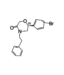 O=C1CO[C@@H](c2ccc(Br)cc2)CN1CCc1ccccc1